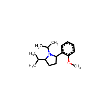 COc1ccccc1C1CCC(C(C)C)N1C(C)C